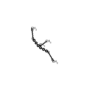 C=COCCCCCCCCOc1ccc(-c2ccc(-c3ccc4c(c3)C(C)(CCCCCCCC)c3cc(-c5ccc(-c6ccc(OCCCCCCCCOC=C)cc6)cc5)ccc3-4)cc2)cc1